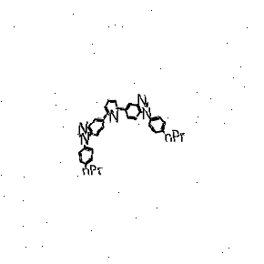 CCCc1ccc(-n2cnc3cc(-c4cccc(-c5ccc6c(c5)ncn6-c5ccc(CCC)cc5)n4)ccc32)cc1